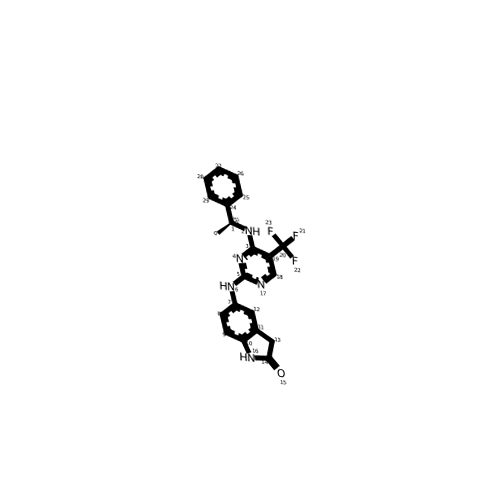 C[C@H](Nc1nc(Nc2ccc3c(c2)CC(=O)N3)ncc1C(F)(F)F)c1ccccc1